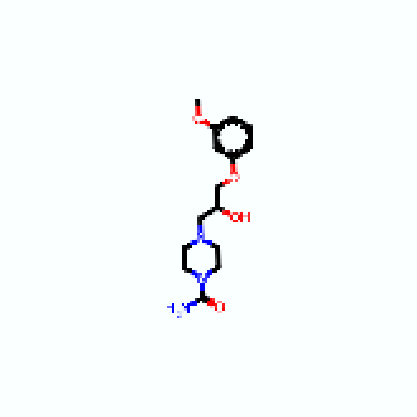 COc1cccc(OCC(O)CN2CCN(C(N)=O)CC2)c1